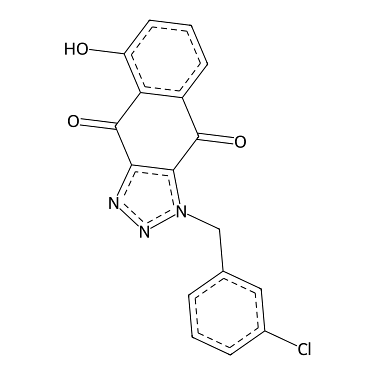 O=C1c2nnn(Cc3cccc(Cl)c3)c2C(=O)c2cccc(O)c21